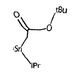 C[CH](C)[Sn][C](=O)OC(C)(C)C